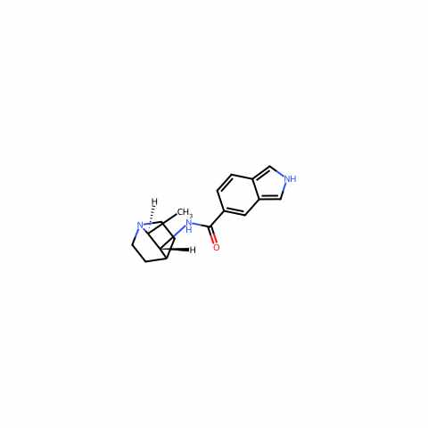 C[C@H]1[C@H](NC(=O)c2ccc3c[nH]cc3c2)C2CCN1CC2